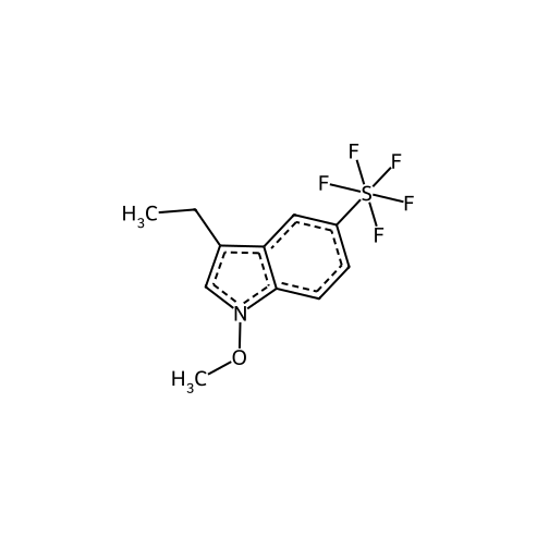 CCc1cn(OC)c2ccc(S(F)(F)(F)(F)F)cc12